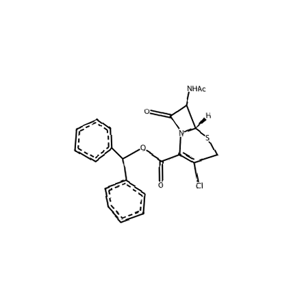 CC(=O)NC1C(=O)N2C(C(=O)OC(c3ccccc3)c3ccccc3)=C(Cl)CS[C@@H]12